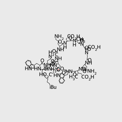 CCC(C)CCCCCCC(=O)NC(Cc1c[nH]c2ccccc12)C(=O)NC(CC(N)=O)C(=O)NC(CC(=O)O)C(=O)NC1C(=O)NCC(=O)NC(CCCN)C(=O)NC(CC(=O)O)C(=O)NC(C)C(=O)NC(CC(=O)O)C(=O)NCC(=O)NC(CC(N)=O)C(=O)NC(C(C)CC(=O)O)C(=O)NC(Cc2c[nH]c3ccccc23)C(=O)OC1C